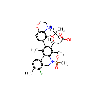 Cc1ccc2c(c1F)CN(S(C)(=O)=O)c1c(C)c([C@@H](CC(=O)O)OC(C)(C)C)c(-c3ccc4c(c3C)NCCO4)c(C)c1-2